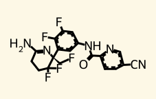 N#Cc1ccc(C(=O)Nc2cc(F)c(F)c([C@@]3(CF)N=C(N)CCC3(F)F)c2)nc1